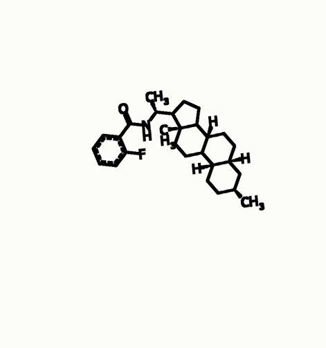 C[C@H]1CC[C@@H]2C3CC[C@@]4(C)C(CCC4[C@H](C)NC(=O)c4ccccc4F)[C@@H]3CC[C@@H]2C1